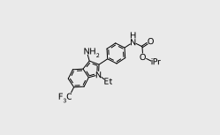 CCn1c(-c2ccc(NC(=O)OC(C)C)cc2)c(N)c2ccc(C(F)(F)F)cc21